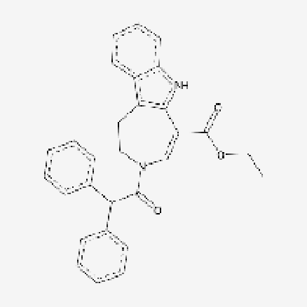 CCOC(=O)C1=CN(C(=O)C(c2ccccc2)c2ccccc2)CCc2c1[nH]c1ccccc21